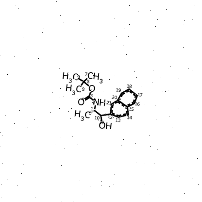 C[C@H](NC(=O)OC(C)(C)C)C(O)c1ccc2ccccc2c1